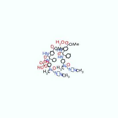 COC(=O)c1ccc2c(c1)NC(=O)/C2=C(\Nc1ccc(N(C)C(=O)CN2CCN(C)CC2)cc1)c1ccccc1.COC(=O)c1ccc2c(c1)NC(=O)/C2=C(\Nc1ccc(N(C)C(=O)CN2CCN(C)CC2)cc1)c1ccccc1.O.O=C(O)C(=O)O